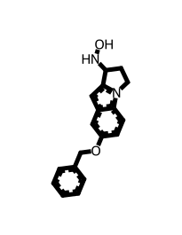 ONC1CCn2c1cc1cc(OCc3ccccc3)ccc12